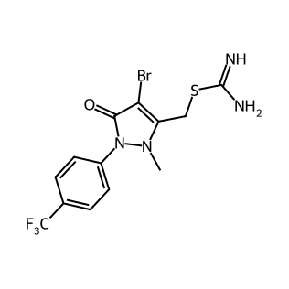 Cn1c(CSC(=N)N)c(Br)c(=O)n1-c1ccc(C(F)(F)F)cc1